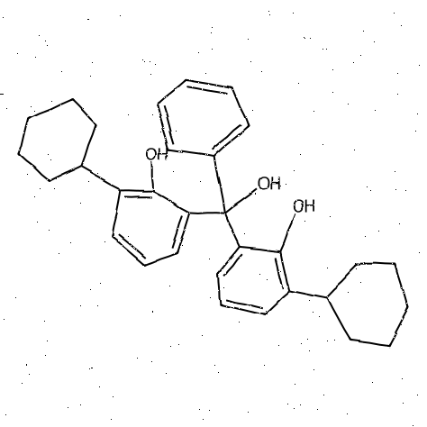 Oc1c(C2CCCCC2)cccc1C(O)(c1ccccc1)c1cccc(C2CCCCC2)c1O